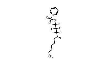 O=S(=O)(OC(F)(F)C(F)(F)C(F)(F)C(F)CCCCCC(F)(F)F)[n+]1ccccc1